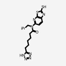 CC(C)CN(C(=O)CCCCCc1nnn[nH]1)c1ccc2nc(S)sc2n1